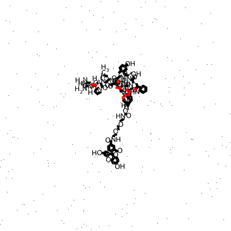 CC(C)C[C@H](NC(=O)[C@@H](CCCn1nnc2c1CC[C@H]1C(CC2)[C@H]1COC(=O)NCCOCCOCCNC(=O)c1ccc2c(c1)C(=O)OC21c2ccc(O)cc2Oc2cc(O)ccc21)NC(=O)[C@H](Cc1ccc(O)cc1)NC(=O)[C@H](CO)NC(=O)[C@H](Cc1c[nH]c2ccccc12)NC(=O)[C@H](Cc1c[nH]cn1)NC(=O)[C@@H]1CCC(=O)N1)C(=O)N[C@@H](CCCNC(=N)N)C(=O)N1CCC[C@H]1C(=O)NCC(N)=O